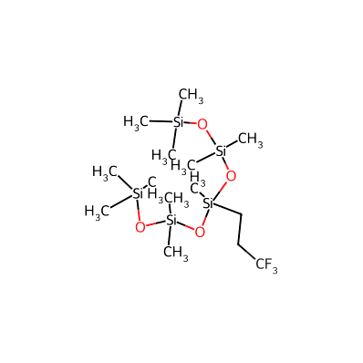 C[Si](C)(C)O[Si](C)(C)O[Si](C)(CCC(F)(F)F)O[Si](C)(C)O[Si](C)(C)C